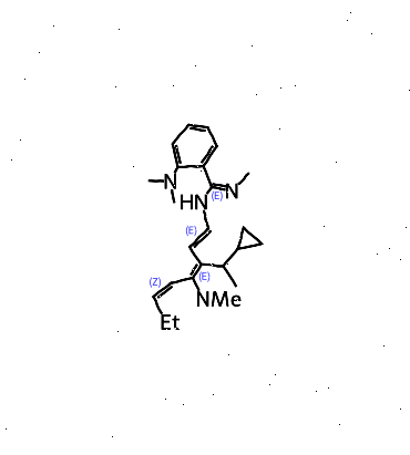 CC\C=C/C(NC)=C(\C=C\N/C(=N/C)c1ccccc1N(C)C)C(C)C1CC1